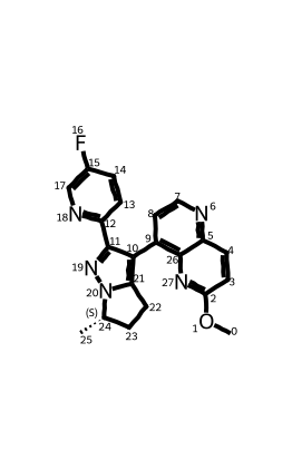 COc1ccc2nccc(-c3c(-c4ccc(F)cn4)nn4c3CC[C@@H]4C)c2n1